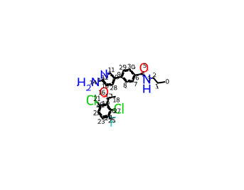 CCCNC(=O)c1ccc(-c2cnc(N)c(OC(C)c3c(Cl)ccc(F)c3Cl)c2)cc1